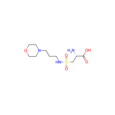 N[C@@H](CS(=O)(=O)NCCCN1CCOCC1)C(=O)O